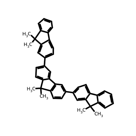 CC1(C)c2ccc(-c3ccc4c(c3)C(C)(C)c3ccccc3-4)cc2-c2cc(-c3ccc4c(c3)C(C)(C)c3ccccc3-4)ccc21